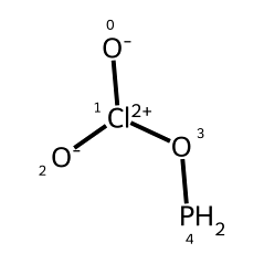 [O-][Cl+2]([O-])OP